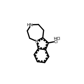 Cl.Clc1c2n(c3ccccc13)CCNCC2